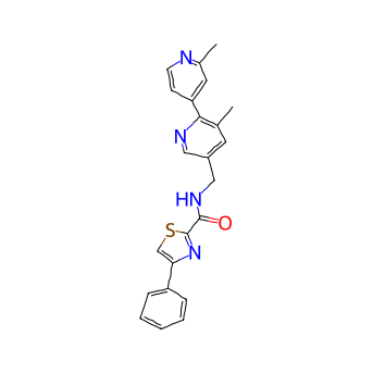 Cc1cc(-c2ncc(CNC(=O)c3nc(-c4ccccc4)cs3)cc2C)ccn1